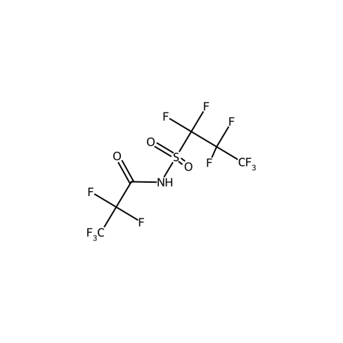 O=C(NS(=O)(=O)C(F)(F)C(F)(F)C(F)(F)F)C(F)(F)C(F)(F)F